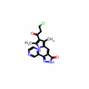 Cc1[nH]c(/C=C2/C(=O)NN=C2c2cnccn2)c(C)c1C(=O)CCCl